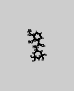 CCOc1ccnc(C(=O)NC2CC(C)(C)CC(C)(C)C2)c1O